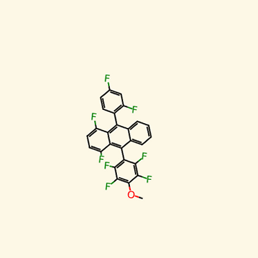 COc1c(F)c(F)c(-c2c3ccccc3c(-c3ccc(F)cc3F)c3c(F)ccc(F)c23)c(F)c1F